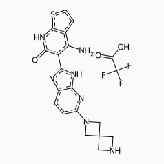 Nc1c(-c2nc3ccc(N4CC5(CNC5)C4)nc3[nH]2)c(=O)[nH]c2sccc12.O=C(O)C(F)(F)F